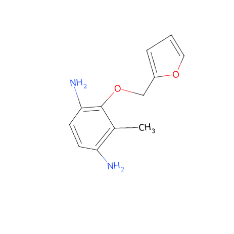 Cc1c(N)ccc(N)c1OCc1ccco1